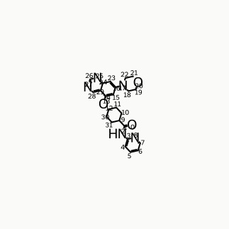 O=C(Nc1ccccn1)C1CCC(Oc2cc(N3CCOCC3)cc3ncncc23)CC1